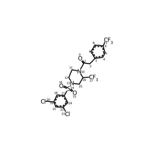 O=C(Cc1ccc(C(F)(F)F)cc1)N1CCN(S(=O)(=O)c2cc(Cl)cc(Cl)c2)CC1C(F)(F)F